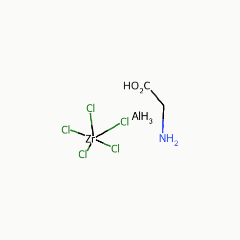 NCC(=O)O.[AlH3].[Cl][Zr]([Cl])([Cl])([Cl])[Cl]